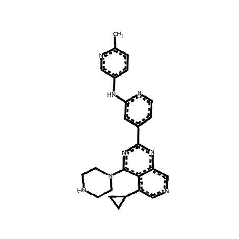 Cc1ccc(Nc2cc(-c3nc(N4CCNCC4)c4c(C5CC5)cncc4n3)ccn2)cn1